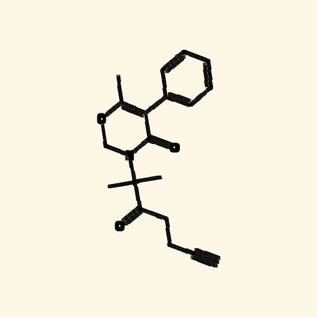 C#CCCC(=O)C(C)(C)N1COC(C)=C(c2ccccc2)C1=O